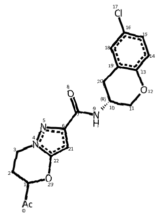 CC(=O)C1CCn2nc(C(=O)N[C@H]3COc4ccc(Cl)cc4C3)cc2O1